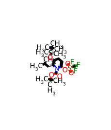 CC(C)C[C@@H]1[C@@H](O[Si](C)(C)C(C)(C)C)CC=C(OS(=O)(=O)C(F)(F)F)N1C(=O)OC(C)(C)C